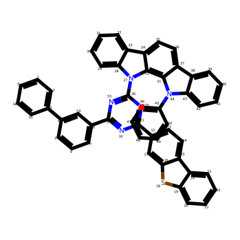 c1ccc(-c2cccc(-c3nc(-c4ccc5c(c4)sc4ccccc45)nc(-n4c5ccccc5c5ccc6c7ccccc7n(-c7ccccc7)c6c54)n3)c2)cc1